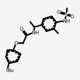 Cc1cc(C(C)NC(=O)COc2ccc(C(C)(C)C)cc2)ccc1NS(C)(=O)=O